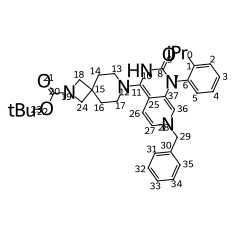 CC(C)c1ccccc1N1C(=O)NC(N2CCC3(CC2)CN(C(=O)OC(C)(C)C)C3)=C2C=CN(Cc3ccccc3)C=C21